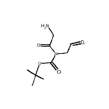 CC(C)(C)OC(=O)N(C[C]=O)C(=O)CN